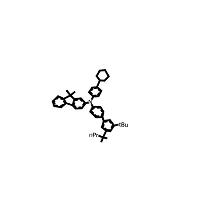 CCCC(C)(C)c1cc(-c2ccc(N(c3ccc(C4CCCCC4)cc3)c3ccc4c(c3)C(C)(C)c3ccccc3-4)cc2)cc(C(C)(C)C)c1